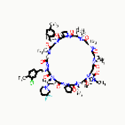 CC[C@H](C)[C@@H]1NC(=O)[C@H](CC(C)C)N(C)C(=O)C[C@@H](C(=O)N(C)C)N(C)C(=O)[C@H]([C@@H](C)CC)N(C)C(=O)C2(CCCC2)NC(=O)[C@H](CCN2CCCC(F)(F)C2)N(C)C(=O)[C@H](CCc2ccc(C(F)(F)F)c(Cl)c2)NC(=O)CN(C)C(=O)[C@H](Cc2ccc(C)cc2)N(C)C(=O)[C@@H]2CCN2C(=O)[C@H](C)N(C)C1=O